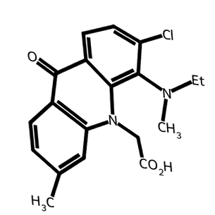 CCN(C)c1c(Cl)ccc2c(=O)c3ccc(C)cc3n(CC(=O)O)c12